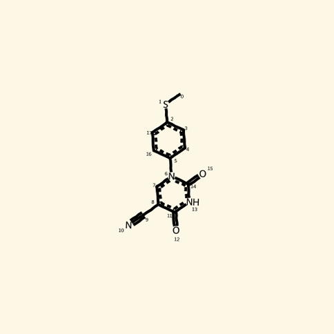 CSc1ccc(-n2cc(C#N)c(=O)[nH]c2=O)cc1